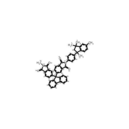 Cc1ccc2c(c1)C(C)(C)CC2(C)c1ccc(N2C(=O)c3ccc(C4(c5ccc6c(c5)C(=O)N(C)C6=O)c5ccccc5-c5ccccc54)cc3C2=O)cc1